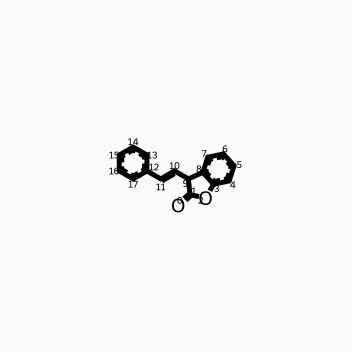 O=C1Oc2ccccc2C1C=Cc1ccccc1